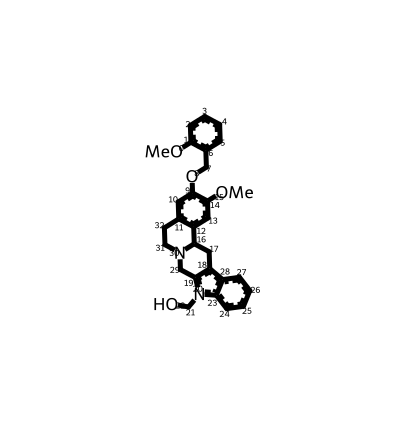 COc1ccccc1COc1cc2c(cc1OC)C1Cc3c(n(CO)c4ccccc34)CN1CC2